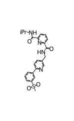 CC(C)NC(=O)c1cccc(C(=O)NCc2ccc(-c3cccc(S(C)(=O)=O)c3)nc2)n1